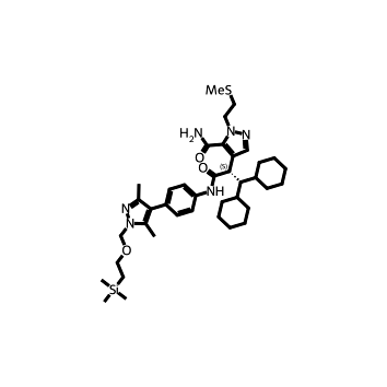 CSCCn1ncc([C@@H](C(=O)Nc2ccc(-c3c(C)nn(COCC[Si](C)(C)C)c3C)cc2)C(C2CCCCC2)C2CCCCC2)c1C(N)=O